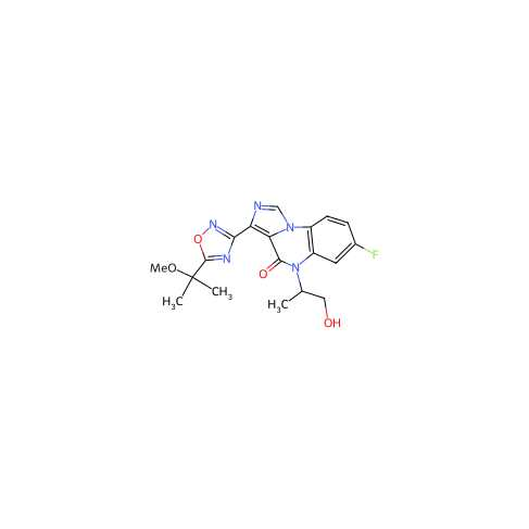 COC(C)(C)c1nc(-c2ncn3c2c(=O)n(C(C)CO)c2cc(F)ccc23)no1